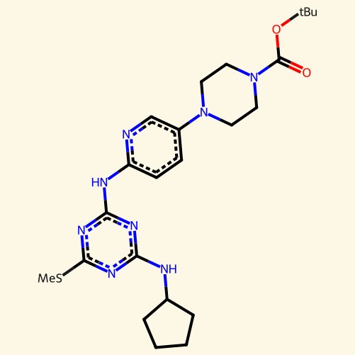 CSc1nc(Nc2ccc(N3CCN(C(=O)OC(C)(C)C)CC3)cn2)nc(NC2CCCC2)n1